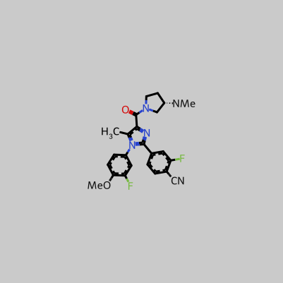 CN[C@H]1CCN(C(=O)c2nc(-c3ccc(C#N)c(F)c3)n(-c3ccc(OC)c(F)c3)c2C)C1